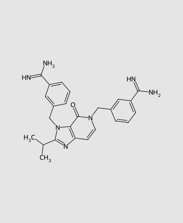 CC(C)c1nc2ccn(Cc3cccc(C(=N)N)c3)c(=O)c2n1Cc1cccc(C(=N)N)c1